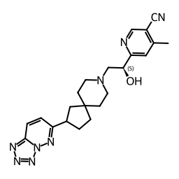 Cc1cc([C@@H](O)CN2CCC3(CCC(c4ccc5nnnn5n4)C3)CC2)ncc1C#N